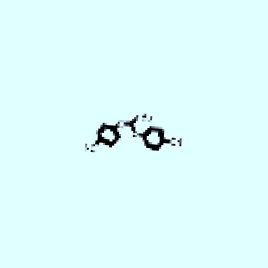 CCCCC(Oc1ccc(C#N)cc1)Oc1ccc(C#N)cc1